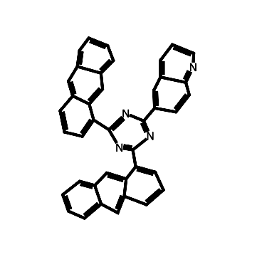 c1ccc2cc3c(-c4nc(-c5ccc6ncccc6c5)nc(-c5cccc6cc7ccccc7cc56)n4)cccc3cc2c1